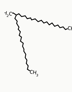 [CH2]CC(CCCCCCCCCCCCCCCCCCC)CCCCCCCCCCCCCCCCCCCC